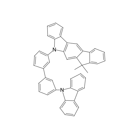 CC1(C)c2ccccc2-c2cc3c4ccccc4n(-c4cccc(-c5cccc(-n6c7ccccc7c7ccccc76)c5)c4)c3cc21